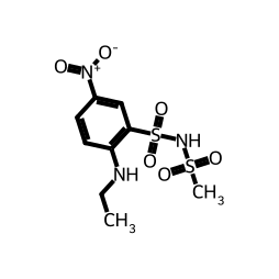 CCNc1ccc([N+](=O)[O-])cc1S(=O)(=O)NS(C)(=O)=O